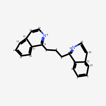 c1ccc2c(CCCc3nccc4ccccc34)nccc2c1